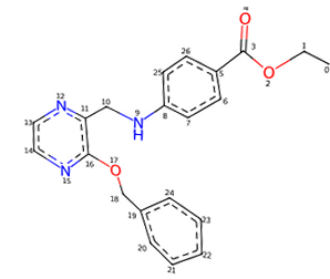 CCOC(=O)c1ccc(NCc2nccnc2OCc2ccccc2)cc1